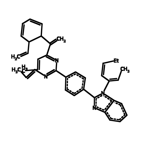 C=CC1C=CC=CC1C(=C)C(/C=C/C)=N/C(=N\C=C\C)c1ccc(-c2nc3ccccc3n2C(/C=C\CC)=C/C)cc1